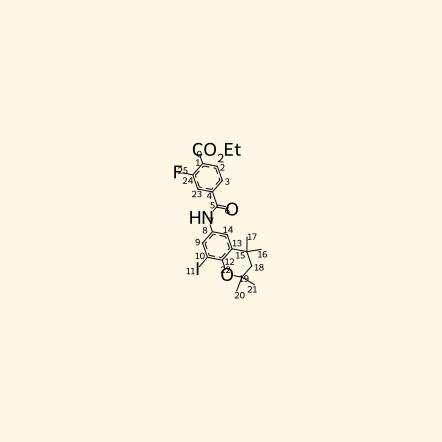 CCOC(=O)c1ccc(C(=O)Nc2cc(I)c3c(c2)C(C)(C)CC(C)(C)O3)cc1F